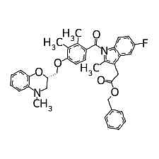 Cc1c(OC[C@@H]2CN(C)c3ccccc3O2)ccc(C(=O)n2c(C)c(CC(=O)OCc3ccccc3)c3cc(F)ccc32)c1C